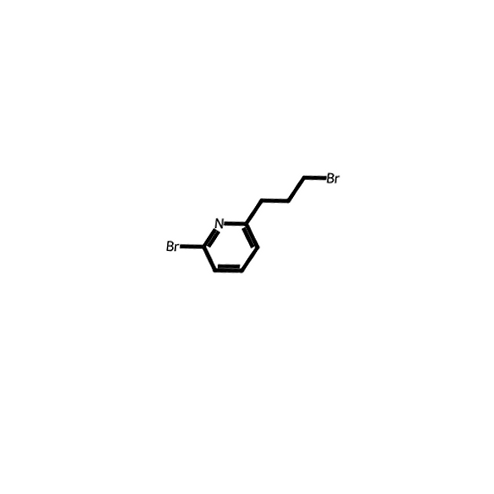 BrCCCc1cccc(Br)n1